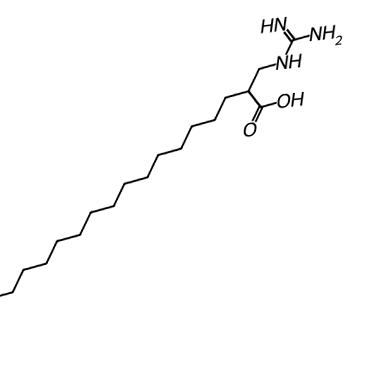 CCCCCCCCCCCCCCCCC(CNC(=N)N)C(=O)O